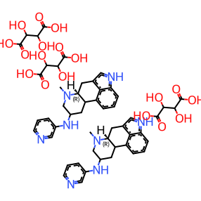 CN1CC(Nc2cccnc2)CC2c3cccc4[nH]cc(c34)C[C@H]21.CN1CC(Nc2cccnc2)CC2c3cccc4[nH]cc(c34)C[C@H]21.O=C(O)C(O)C(O)C(=O)O.O=C(O)C(O)C(O)C(=O)O.O=C(O)C(O)C(O)C(=O)O